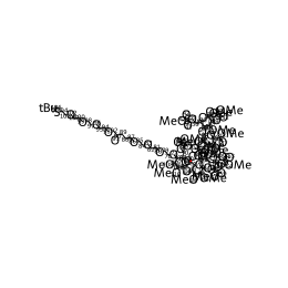 COC(=O)[C@H]1O[C@@H](OC2[C@@H](COS(=O)(=O)OC)O[C@H](O[C@H]3[C@H](OC)[C@@H](OC)[C@H](O[C@H]4[C@H](OC)[C@@H](OS(=O)(=O)OC)[C@@H](OC)O[C@@H]4COS(=O)(=O)OC)O[C@H]3C(=O)OC)[C@H](OS(=O)(=O)OC)[C@H]2OS(=O)(=O)OC)[C@H](OC)[C@@H](OC)[C@@H]1O[C@H]1O[C@H](COS(=O)(=O)OC)C(OCCOCCOCCOCCCC(=O)COCCOCCOCCOCCSC(C)(C)C)[C@H](OC)[C@H]1OC